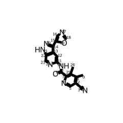 Cc1c(C#N)cnc(C(=O)Nc2cc3c(-c4cnco4)n[nH]c3cn2)c1C